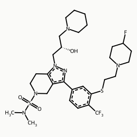 CN(C)S(=O)(=O)N1CCc2c(c(-c3ccc(C(F)(F)F)c(SCCN4CCC(F)CC4)c3)nn2C[C@@H](O)CN2CCCCC2)C1